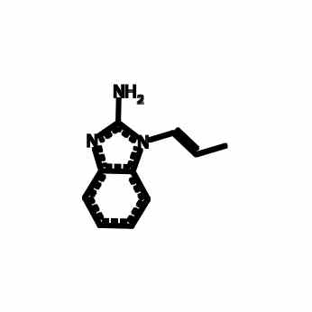 CC=Cn1c(N)nc2ccccc21